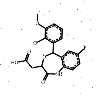 COc1cccc(C2OC(CC(=O)O)C(=O)Nc3ccc(F)cc32)c1Cl